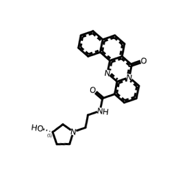 O=C(NCCN1CC[C@H](O)C1)c1cccn2c(=O)c3ccc4ccccc4c3nc12